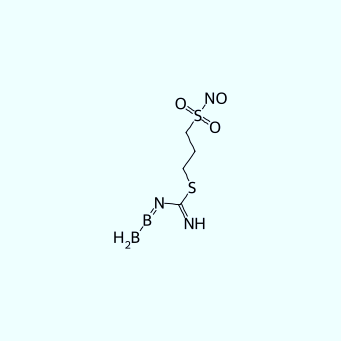 BB=NC(=N)SCCCS(=O)(=O)N=O